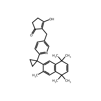 Cc1cc2c(cc1C1(c3ccc(CC4=C(O)CCC4=O)cn3)CC1)C(C)(C)C=CC2(C)C